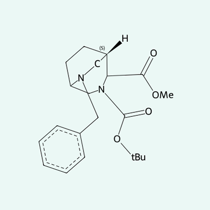 COC(=O)C1[C@H]2CCC(CN1C(=O)OC(C)(C)C)N(Cc1ccccc1)C2